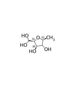 C[C@@H]1O[C@H](C(O)O)[C@H](O)C1O